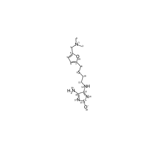 CN(C)Cc1ccc(CSCCNc2n[s+]([O-])nc2N)o1